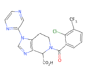 O=C(O)C1c2ncn(-c3cnccn3)c2CCN1C(=O)c1cccc(C(F)(F)F)c1Cl